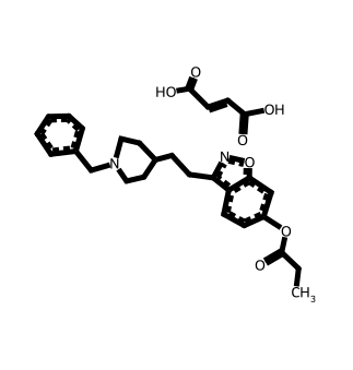 CCC(=O)Oc1ccc2c(CCC3CCN(Cc4ccccc4)CC3)noc2c1.O=C(O)C=CC(=O)O